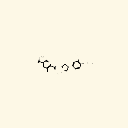 CNC(=O)c1cnc(C(=O)O[C@@H]2C[C@@H](c3ccc(OC)c(OC(C)C)c3)CN2C(C)=O)c(C)c1